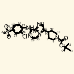 CC(C)(C)OC(=O)N1CCC(c2cnc3c(Nc4ccc(S(C)(=O)=O)cc4Cl)nccn23)CC1